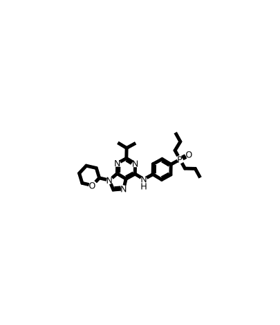 CCCP(=O)(CCC)c1ccc(Nc2nc(C(C)C)nc3c2ncn3C2CCCCO2)cc1